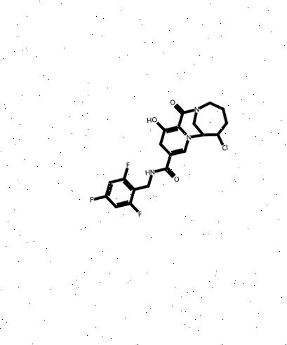 O=C(NCc1c(F)cc(F)cc1F)C1=CN2C(=C(O)C1)C(=O)N1CCCC(Cl)C2C1